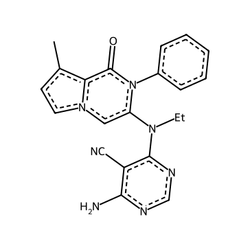 CCN(c1ncnc(N)c1C#N)c1cn2ccc(C)c2c(=O)n1-c1ccccc1